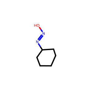 O/N=N/C1CCCCC1